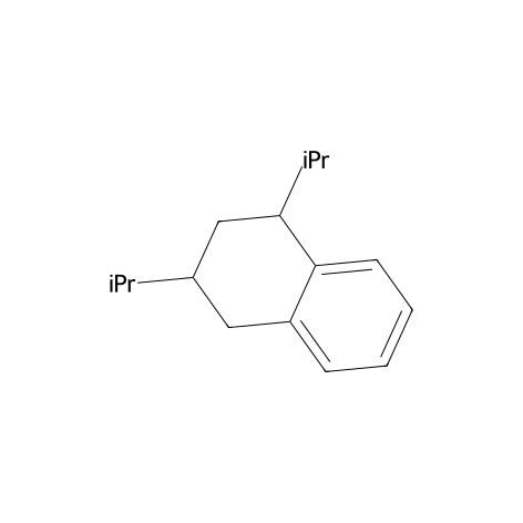 CC(C)C1Cc2ccccc2C(C(C)C)C1